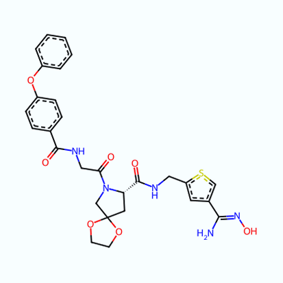 N/C(=N\O)c1csc(CNC(=O)[C@@H]2CC3(CN2C(=O)CNC(=O)c2ccc(Oc4ccccc4)cc2)OCCO3)c1